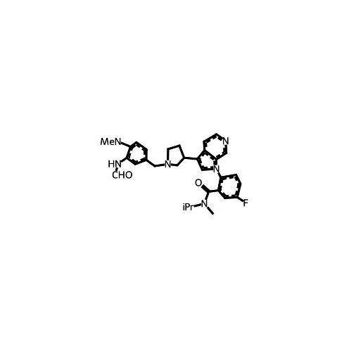 CNc1ccc(CN2CCC(c3cn(-c4ccc(F)cc4C(=O)N(C)C(C)C)c4cnccc34)C2)cc1NC=O